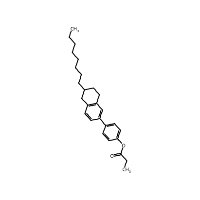 CCCCCCCCC1CCc2cc(-c3ccc(OC(=O)CC)cc3)ccc2C1